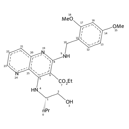 CCC[C@@H](CO)Nc1c(C(=O)OCC)c(NCc2ccc(OC)cc2OC)nc2cccnc12